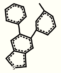 Cc1cccc(-c2cc3cscc3cc2-c2ccccc2)c1